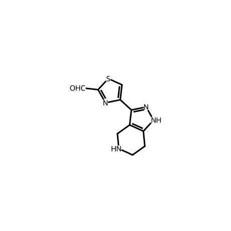 O=Cc1nc(-c2n[nH]c3c2CNCC3)cs1